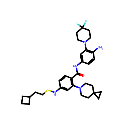 Nc1ccc(NC(=O)c2ccc(NSCCC3CCC3)cc2N2CCC3(CC2)CC3)cc1N1CCC(F)(F)CC1